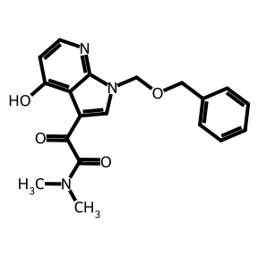 CN(C)C(=O)C(=O)c1cn(COCc2ccccc2)c2nccc(O)c12